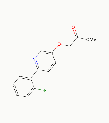 COC(=O)COc1ccc(-c2ccccc2F)nc1